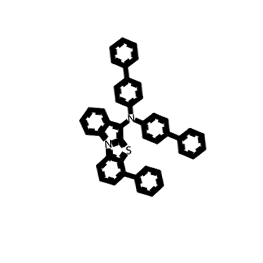 c1ccc(-c2ccc(N(c3ccc(-c4ccccc4)cc3)c3c4ccccc4n4c3sc3c(-c5ccccc5)cccc34)cc2)cc1